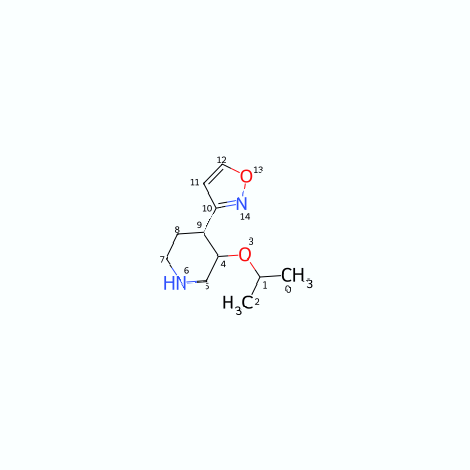 CC(C)OC1CNCCC1c1ccon1